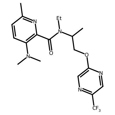 CCN(C(=O)c1nc(C)ccc1N(C)C)C(C)COc1cnc(C(F)(F)F)cn1